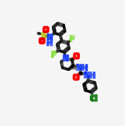 CS(=O)(=O)Nc1ccccc1-c1cc(F)c(N2CCC[C@@H](NC(=O)Nc3ccc(Cl)cc3)C2=O)cc1F